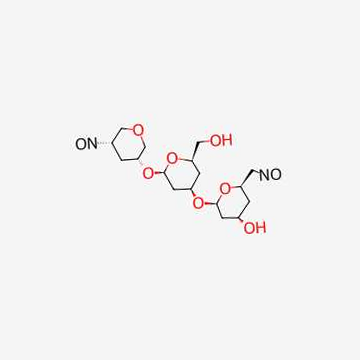 O=NC[C@H]1C[C@@H](O)C[C@@H](O[C@@H]2C[C@H](CO)O[C@H](O[C@H]3COC[C@@H](N=O)C3)C2)O1